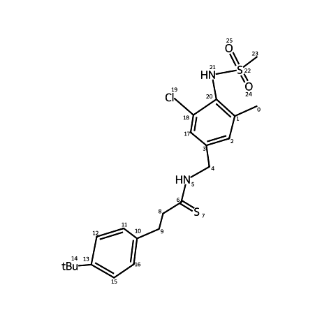 Cc1cc(CNC(=S)CCc2ccc(C(C)(C)C)cc2)cc(Cl)c1NS(C)(=O)=O